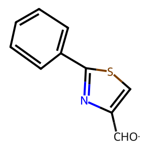 O=[C]c1csc(-c2ccccc2)n1